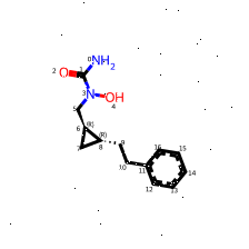 NC(=O)N(O)C[C@@H]1C[C@H]1CCc1ccccc1